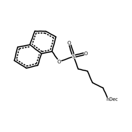 CCCCCCCCCCCCCCS(=O)(=O)Oc1cccc2ccccc12